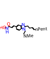 CCCCCC=CCCc1nc2cc(/C=C/C(=O)NO)ccc2n1CCNC